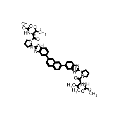 COC(=O)N[C@@H](C(=O)N1CCC[C@H]1c1nc2cc(-c3ccc4ccc(-c5ccc6nc([C@@H]7CCCN7C(=O)[C@H](NC(=O)OC)C(C)C)[nH]c6c5)cc4c3)ccc2[nH]1)C(C)C